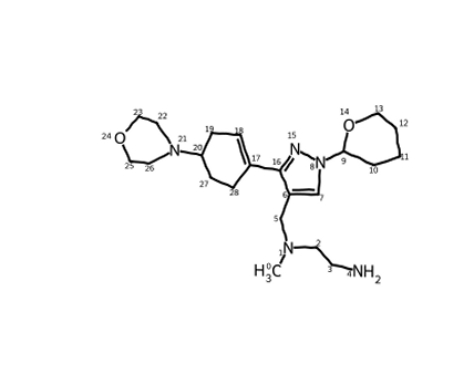 CN(CCN)Cc1cn(C2CCCCO2)nc1C1=CCC(N2CCOCC2)CC1